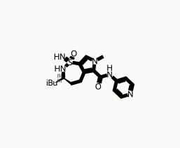 CC[C@H](C)[C@@H]1CCc2c(cn(C)c2C(=O)Nc2ccncc2)S(=N)(=O)N1